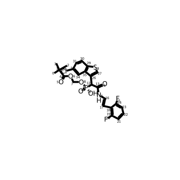 CC(C)(C)C(=O)OCOP(=O)(O)C(C(=O)N/C=C/c1c(F)cccc1F)c1csc2ccc(Cl)cc12